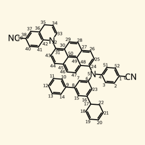 N#Cc1ccc(N(c2cc(-c3ccccc3)cc(C3C=CC=CC3)c2)c2ccc3ccc4c(N5C=CCc6cc(C#N)ccc65)ccc5ccc2c3c54)cc1